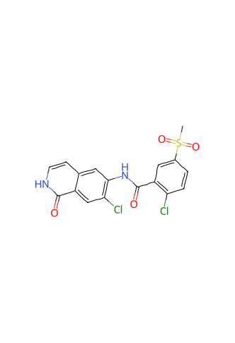 CS(=O)(=O)c1ccc(Cl)c(C(=O)Nc2cc3cc[nH]c(=O)c3cc2Cl)c1